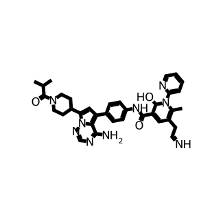 CC1=C(CC=N)C=C(C(=O)Nc2ccc(-c3cc(C4CCN(C(=O)C(C)C)CC4)n4ncnc(N)c34)cc2)C(O)N1c1ccccn1